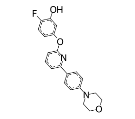 Oc1cc(Oc2cccc(-c3ccc(N4CCOCC4)cc3)n2)ccc1F